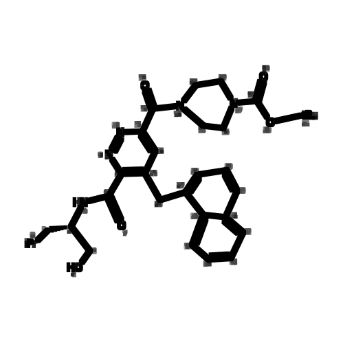 CC(C)C[C@@H](CO)NC(=O)c1nnc(C(=O)N2CCN(C(=O)OC(C)(C)C)CC2)cc1Cc1cccc2ccccc12